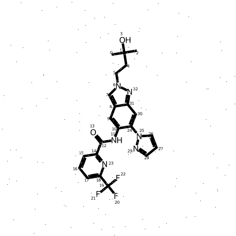 CC(C)(O)CCn1cc2cc(NC(=O)c3cccc(C(F)(F)F)n3)c(-n3cccn3)cc2n1